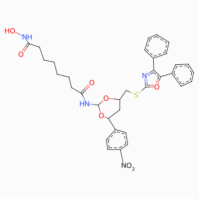 O=C(CCCCCCC(=O)NC1OC(CSc2nc(-c3ccccc3)c(-c3ccccc3)o2)CC(c2ccc([N+](=O)[O-])cc2)O1)NO